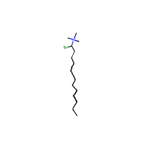 CCCCCCCCCCCC(Br)[N+](C)(C)C